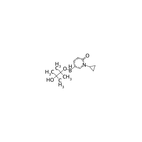 CC(C)(O)C(C)(C)OBc1ccc(=O)n(C2CC2)c1